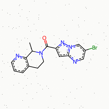 CC1c2ncccc2CCN1C(=O)c1cc2ncc(Br)cn2n1